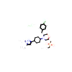 CCS(=O)(=O)C[C@H]1CN(C2CCC(c3cc(C)n(C)n3)CC2)[C@@H](Cc2ccc(Cl)cc2)CO1.Cl